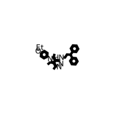 CCOc1ccc(-n2c(C)c3c(C)nnc(NCCC(c4ccccc4)c4ccccc4)c3c2C)cc1